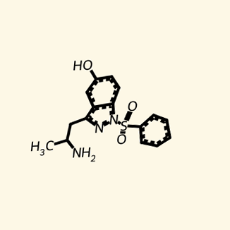 CC(N)Cc1nn(S(=O)(=O)c2ccccc2)c2ccc(O)cc12